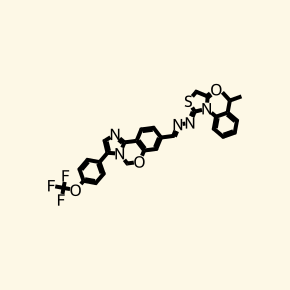 CC(C)c1ccccc1N1C(=O)CS/C1=N\N=C\c1ccc2c(c1)OCn1c(-c3ccc(OC(F)(F)F)cc3)cnc1-2